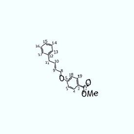 COC(=O)c1ccc(OCC=CCc2ccccc2)cc1